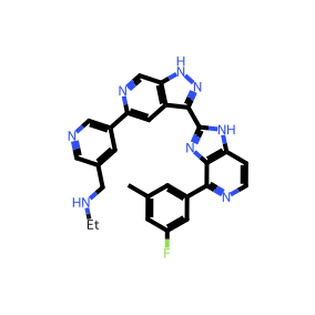 CCNCc1cncc(-c2cc3c(-c4nc5c(-c6cc(C)cc(F)c6)nccc5[nH]4)n[nH]c3cn2)c1